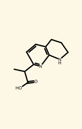 CC(C(=O)O)c1ccc2c(n1)NCCC2